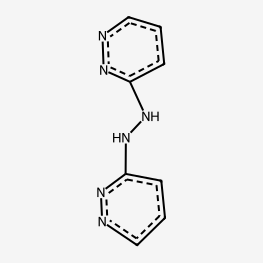 c1cnnc(NNc2cccnn2)c1